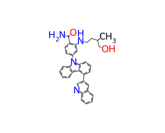 C[C@@H](CO)CCNc1cc(-n2c3ccccc3c3c(-c4cnc5ccccc5c4)cccc32)ccc1C(N)=O